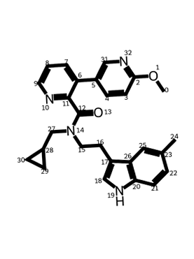 COc1ccc(-c2cccnc2C(=O)N(CCc2c[nH]c3ccc(C)cc23)CC2CC2)cn1